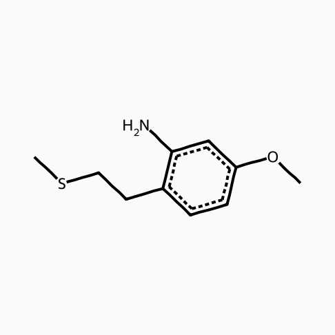 COc1ccc(CCSC)c(N)c1